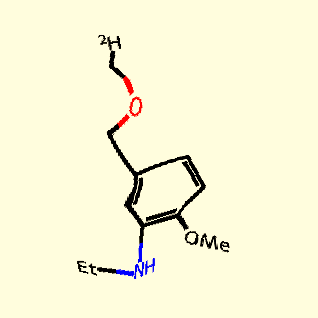 [2H]COCc1ccc(OC)c(NCC)c1